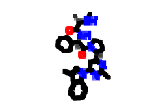 CN[C@@H](C)C(=O)N[C@H](C(=O)N1CCC[C@H]1c1cc(-n2cc(C)c3ccccc32)nc(C)n1)C1CCCCC1